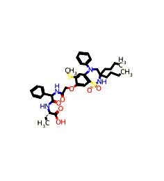 CCCCC1(CCCC)CN(c2ccccc2)c2cc(SC)c(OCC(=O)NC(C(=O)N[C@@H](CC)C(=O)O)c3ccccc3)cc2S(=O)(=O)N1